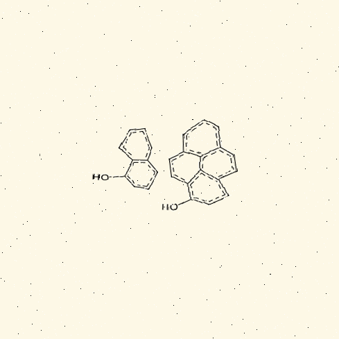 Oc1ccc2ccc3cccc4ccc1c2c34.Oc1cccc2ccccc12